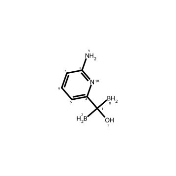 BC(B)(O)c1cccc(N)n1